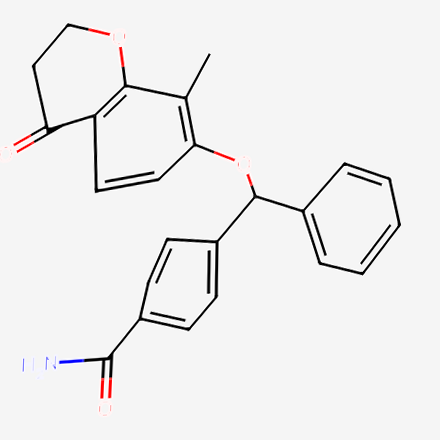 Cc1c(OC(c2ccccc2)c2ccc(C(N)=O)cc2)ccc2c1OCCC2=O